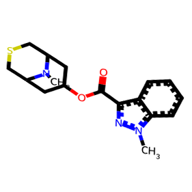 CN1C2CSCC1CC(OC(=O)c1nn(C)c3ccccc13)C2